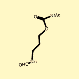 CNC(=O)OCCCNC=O